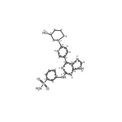 NS(=O)(=O)c1cccc(Nc2nc(-c3ccc(N4CCCC(O)C4)nc3)c3nc[nH]c3n2)c1